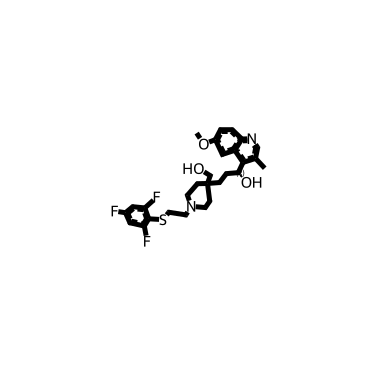 COc1ccc2ncc(C)c([C@H](O)CCC3(CO)CCN(CCSc4c(F)cc(F)cc4F)CC3)c2c1